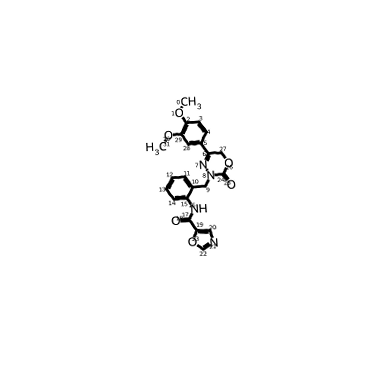 COc1ccc(C2=NN(Cc3ccccc3NC(=O)c3cnco3)C(=O)OC2)cc1OC